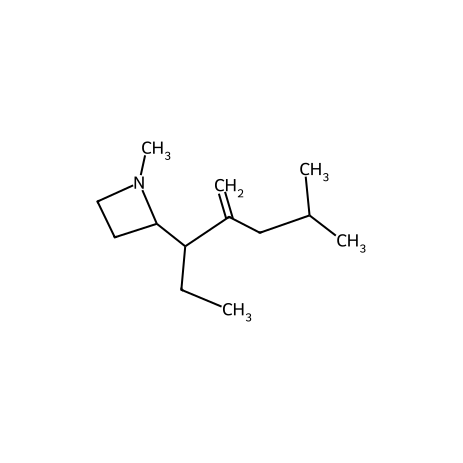 C=C(CC(C)C)C(CC)C1CCN1C